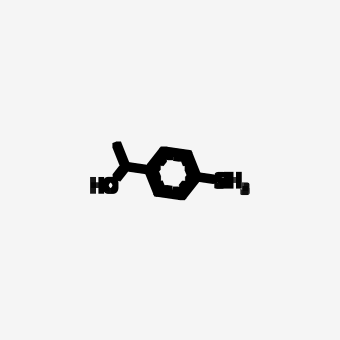 CC(O)c1ccc([SiH3])cc1